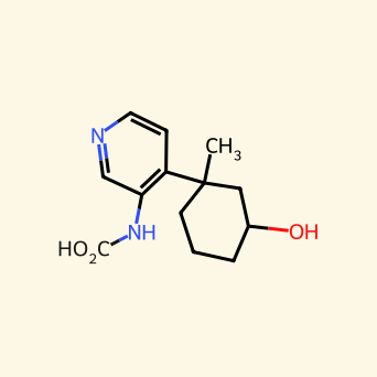 CC1(c2ccncc2NC(=O)O)CCCC(O)C1